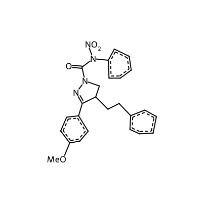 COc1ccc(C2=NN(C(=O)N(c3ccccc3)[N+](=O)[O-])CC2CCc2ccccc2)cc1